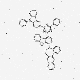 c1ccc(-c2nc(-c3ccc4c(c3)c3ccccc3n4-c3ccccc3)nc(-c3ccc(C4CCc5cc6ccccc6cc5-c5ccccc54)c4oc5ccccc5c34)n2)cc1